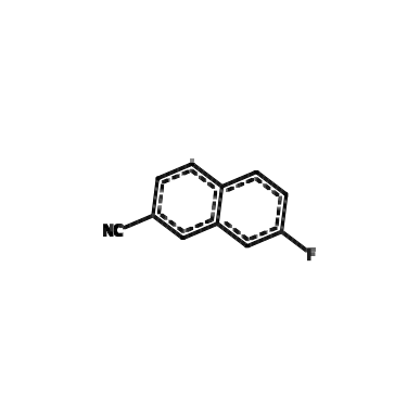 N#Cc1c[c]c2ccc(F)cc2c1